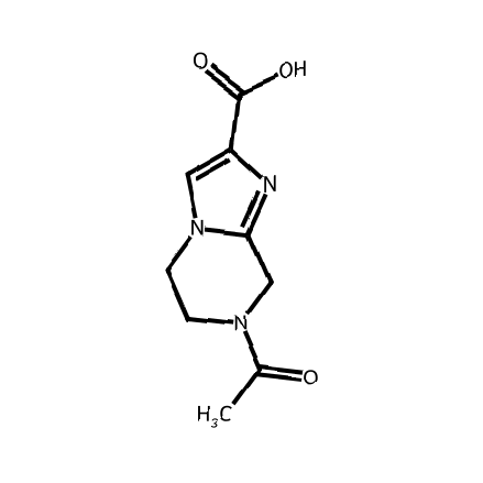 CC(=O)N1CCn2cc(C(=O)O)nc2C1